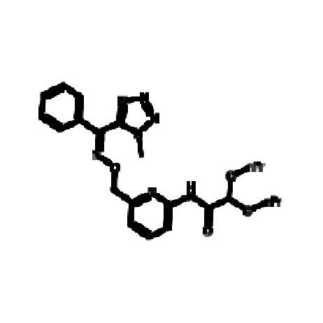 CCCOC(OCCC)C(=O)Nc1cccc(CO/N=C(/c2ccccc2)c2nnnn2C)n1